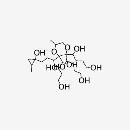 CC1COC(C(O)CCCO)(C(O)CCCO)C(C(O)CCCO)(C(O)CCC2(O)CC2C)O1